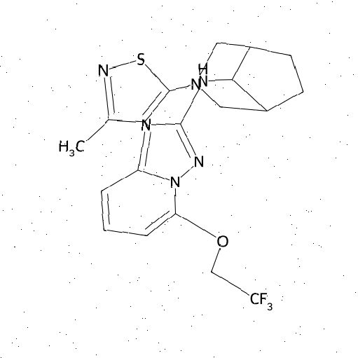 Cc1cc(N2CC3CCC(C2)C3Nc2nc3cccc(OCC(F)(F)F)n3n2)sn1